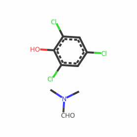 CN(C)C=O.Oc1c(Cl)cc(Cl)cc1Cl